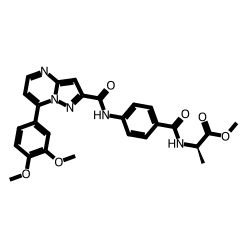 COC(=O)[C@@H](C)NC(=O)c1ccc(NC(=O)c2cc3nccc(-c4ccc(OC)c(OC)c4)n3n2)cc1